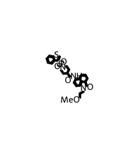 COCCCN1C(=O)C2CC=Cc3c(NC(=O)C4CCN(S(=O)(=O)c5csc6ccccc56)CC4)ccc1c32